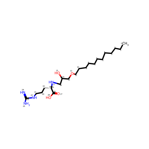 CCCCCCCCCCCCOCC(O)CN[C@@H](CCCNC(=N)N)C(=O)O